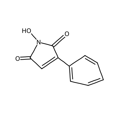 O=C1C=C(c2ccccc2)C(=O)N1O